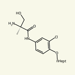 CCCCCCCOc1ccc(NC(=O)[C@@](C)(N)CO)cc1Cl